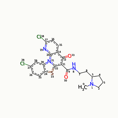 CN1CCCC1CCNC(=O)c1c(=O)c2ccc(Cl)nc2n2c1sc1ccc(Cl)cc12